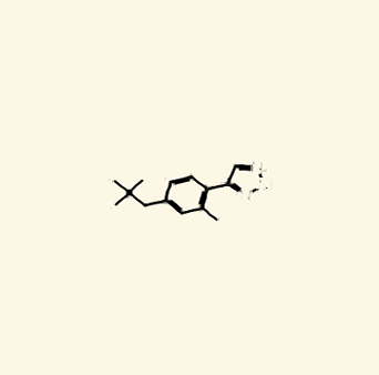 [CH2]c1cc(CC(C)(C)C)ccc1-c1cn[nH]n1